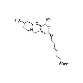 CCCCCCCCCCCCCCCCOC1C=C(CN2CCC(C)CC2)C(=O)C(C(C)C)O1